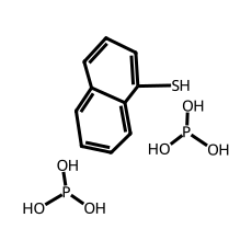 OP(O)O.OP(O)O.Sc1cccc2ccccc12